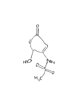 CS(=O)(=O)NC1=CC(=O)OC1O